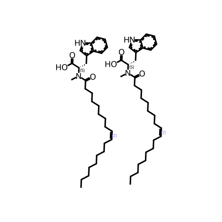 CCCCCCCC/C=C\CCCCCCCC(=O)N(C)[C@@H](Cc1c[nH]c2ccccc12)C(=O)O.CCCCCCCC/C=C\CCCCCCCC(=O)N(C)[C@@H](Cc1c[nH]c2ccccc12)C(=O)O